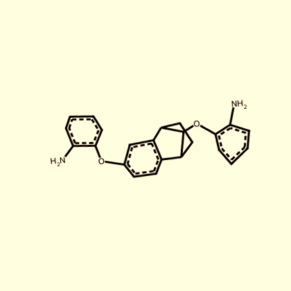 Nc1ccccc1Oc1ccc2c(c1)C1CCC2C1Oc1ccccc1N